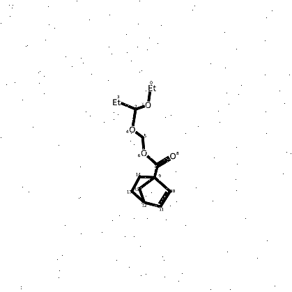 CCOC(CC)OCOC(=O)C12C=CC(CC1)C2